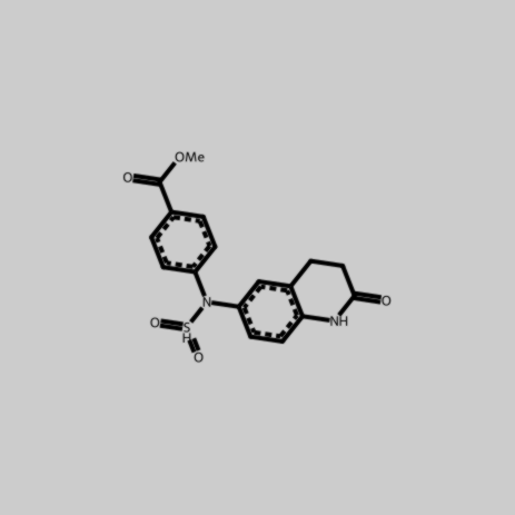 COC(=O)c1ccc(N(c2ccc3c(c2)CCC(=O)N3)[SH](=O)=O)cc1